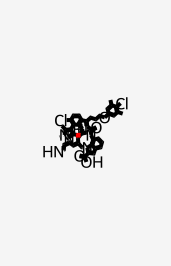 Cc1cc(OCCCc2c3n(c4c(-c5c(C)nn(C)c5C)c(Cl)ccc24)[C@@H]2C/C(=C\C=C/C=N)Cn4c(C(=O)O)cc5cccc(c54)N(C2)C3=O)cc(C)c1Cl